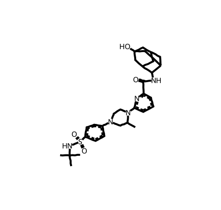 CC1CN(c2ccc(S(=O)(=O)NC(C)(C)C)cc2)CCN1c1cccc(C(=O)NC2C3CC4CC2CC(O)(C4)C3)n1